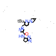 Cn1cnc2c1CC[C@H]2NC(=O)c1cnn(Cc2ccc(N3CC4CC4C3)nc2C(C)(C)C)c1